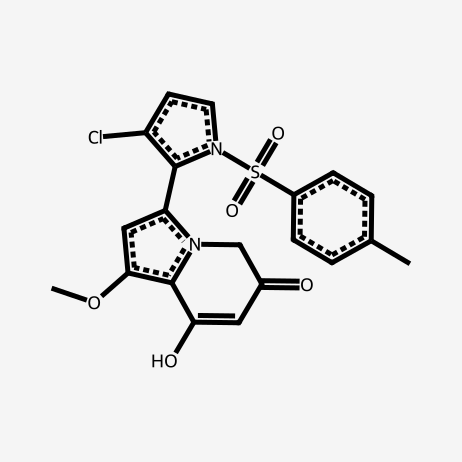 COc1cc(-c2c(Cl)ccn2S(=O)(=O)c2ccc(C)cc2)n2c1C(O)=CC(=O)C2